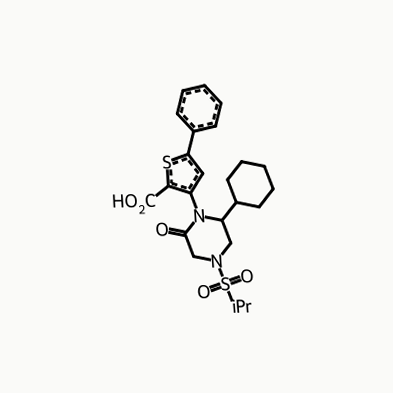 CC(C)S(=O)(=O)N1CC(=O)N(c2cc(-c3ccccc3)sc2C(=O)O)C(C2CCCCC2)C1